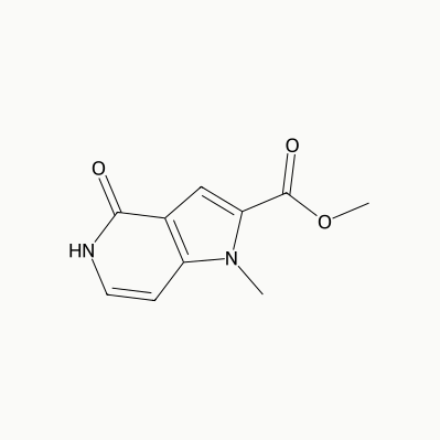 COC(=O)c1cc2c(=O)[nH]ccc2n1C